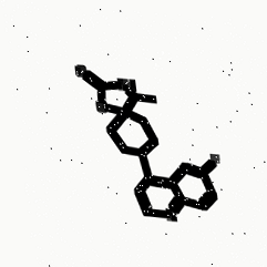 CC1NC(=O)OC12CCC(c1ccnc3ccc(F)cc13)CC2